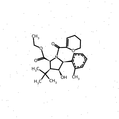 CCOC(=O)[C@@H]1[C@H](C(C)(C)C)[C@H](O)[C@H](c2ccccc2C)N1C(=O)C1=CCCCO1